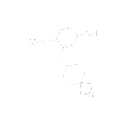 COc1ccc(N)cc1OC1CCC2(CC1)CN(C)C2